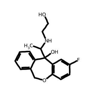 CC(NCCO)C1(O)c2ccccc2COc2ccc(F)cc21